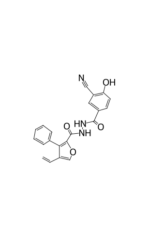 C=Cc1coc(C(=O)NNC(=O)c2ccc(O)c(C#N)c2)c1-c1ccccc1